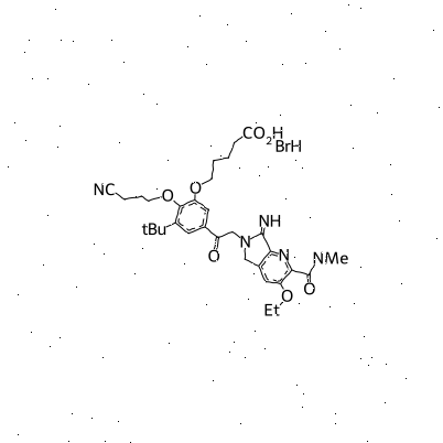 Br.CCOc1cc2c(nc1C(=O)NC)C(=N)N(CC(=O)c1cc(OCCCCC(=O)O)c(OCCCC#N)c(C(C)(C)C)c1)C2